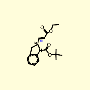 CCOC(=O)/C=C/[C@@H]1Cc2ccccc2N1C(=O)OC(C)(C)C